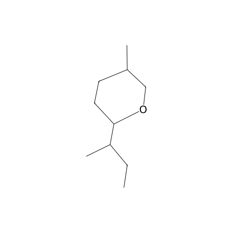 CCC(C)C1CCC(C)CO1